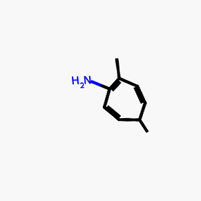 CC1=C(N)C=CC(C)C=C1